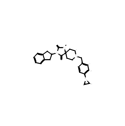 CCN1C(=O)N(C2Cc3ccccc3C2)C(=O)C12CCN(Cc1ccc(N3CC3)cc1)CC2